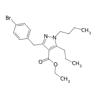 CCCCn1nc(Cc2ccc(Br)cc2)c(C(=O)OCC)c1CCC